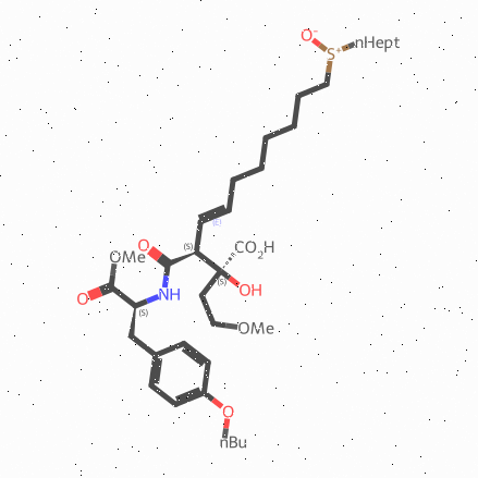 CCCCCCC[S+]([O-])CCCCCC/C=C/[C@H](C(=O)N[C@@H](Cc1ccc(OCCCC)cc1)C(=O)OC)[C@@](O)(CCOC)C(=O)O